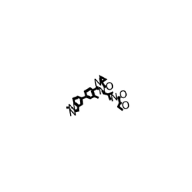 Cc1cc(-c2ccc3c(cnn3C)c2)ccc1C1=NC2(CC2)C(=O)N1CC1CN(C(=O)C2CCO2)C1